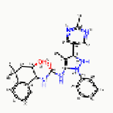 CC1=C(NC(=O)NC2c3ccccc3C(C)(C)C[C@H]2O)N(c2ccccc2)NC1c1cnc(C)nc1